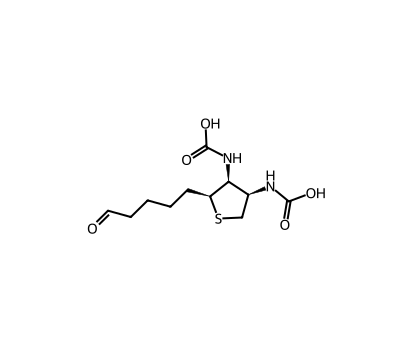 O=CCCCC[C@@H]1SC[C@H](NC(=O)O)[C@@H]1NC(=O)O